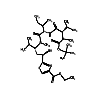 CCOC(=O)c1csc([C@H](O)C[C@H](C(C)C)N(C)C(=O)[C@@H](NC(=O)[C@@H](C(C)C)N(C)C(=O)OC(C)(C)C)C(C)CC)n1